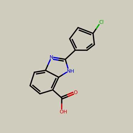 O=C(O)c1cccc2nc(-c3ccc(Cl)cc3)[nH]c12